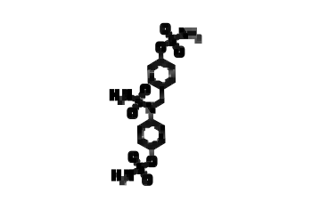 NS(=O)(=O)Oc1ccc(CN(c2ccc(OS(N)(=O)=O)cc2)S(N)(=O)=O)cc1